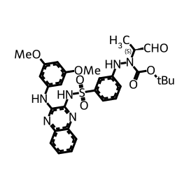 COc1cc(Nc2nc3ccccc3nc2NS(=O)(=O)c2cccc(NN(C(=O)OC(C)(C)C)[C@@H](C)C=O)c2)cc(OC)c1